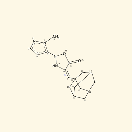 Cn1nccc1C1N/C(=C/C23CC4CC(CC(C4)C2)C3)C(=O)O1